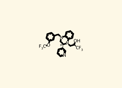 O[C@H](CN1c2ccccc2N(Cc2cccc(OC(F)(F)F)c2)C[C@H]1c1cccnc1)C(F)(F)F